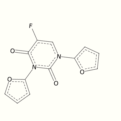 O=c1c(F)cn(-c2ccco2)c(=O)n1-c1ccco1